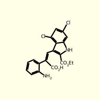 CCOC(=O)c1[nH]c2cc(Cl)cc(Cl)c2c1C=C(C(=O)O)c1ccccc1N